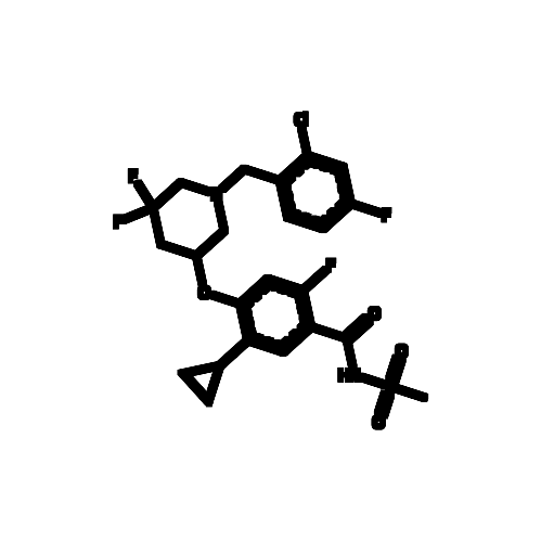 CS(=O)(=O)NC(=O)c1cc(C2CC2)c(OC2CN(Cc3ccc(F)cc3Cl)CC(F)(F)C2)cc1F